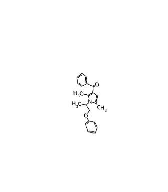 Cc1cc(C(=O)c2ccccc2)c(C)n1C(C)COc1ccccc1